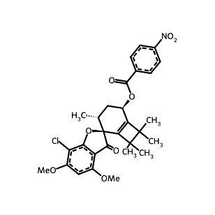 COc1cc(OC)c2c(c1Cl)O[C@]1(C2=O)C2=C([C@H](OC(=O)c3ccc([N+](=O)[O-])cc3)C[C@H]1C)C(C)(C)C2(C)C